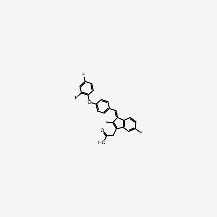 CC1=C(CC(=O)O)c2cc(F)ccc2/C1=C/c1ccc(Oc2ccc(F)cc2F)cc1